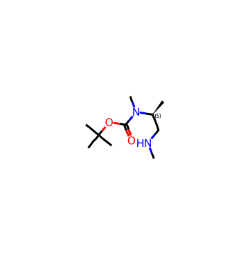 CNC[C@H](C)N(C)C(=O)OC(C)(C)C